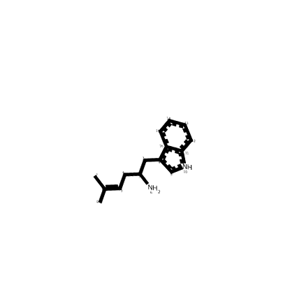 CC(C)=CCC(N)Cc1c[nH]c2ccccc12